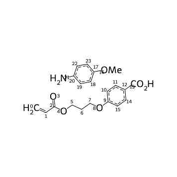 C=CC(=O)OCCCOc1ccc(C(=O)O)cc1.COc1ccc(N)cc1